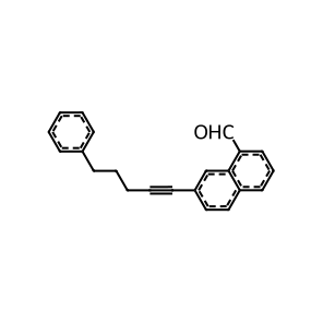 O=Cc1cccc2ccc(C#CCCCc3ccccc3)cc12